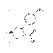 Cc1ccc(C2CNCCC2C(=O)O)cc1